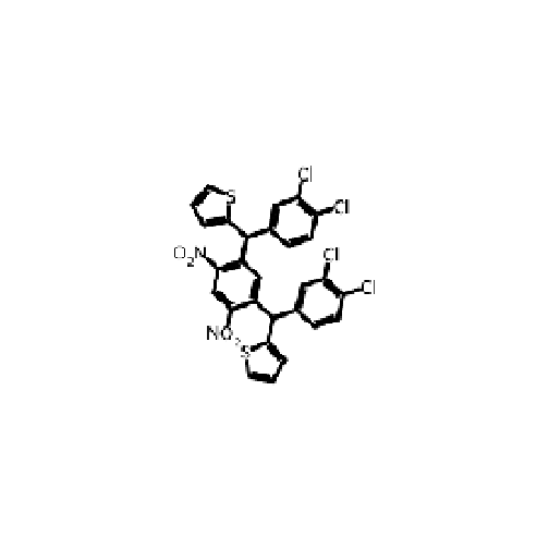 O=[N+]([O-])c1cc([N+](=O)[O-])c(C(c2ccc(Cl)c(Cl)c2)c2cccs2)cc1C(c1ccc(Cl)c(Cl)c1)c1cccs1